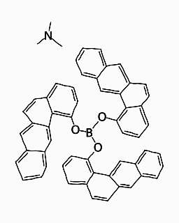 CN(C)C.c1ccc2cc3c(ccc4cccc(OB(Oc5cccc6ccc7cc8ccccc8cc7c56)Oc5cccc6ccc7cc8ccccc8cc7c56)c43)cc2c1